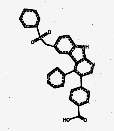 O=C(O)c1ccc(-c2cnc3[nH]c4ccc(CS(=O)(=O)c5ccccc5)cc4c3c2-c2ccccc2)cc1